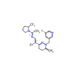 C=C1CCC(/C(=C/N=C(\C)N2CCCC2C(F)(F)F)CC)=NN1Cc1cncc(F)c1